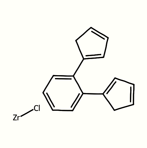 C1=CCC(c2ccccc2C2=CC=CC2)=C1.[Cl][Zr]